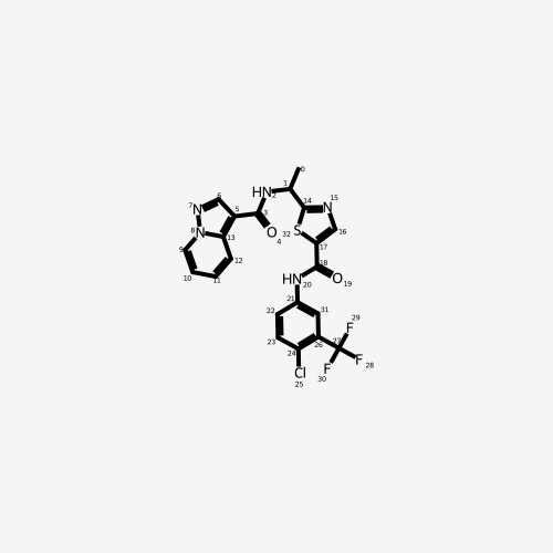 CC(NC(=O)c1cnn2ccccc12)c1ncc(C(=O)Nc2ccc(Cl)c(C(F)(F)F)c2)s1